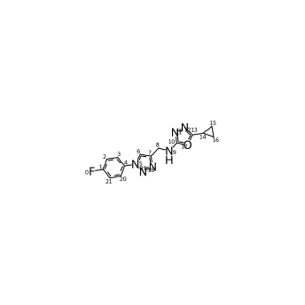 Fc1ccc(-n2cc(CNc3nnc(C4CC4)o3)nn2)cc1